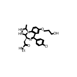 CCNC(=O)C[C@@H]1N=C(c2ccc(Cl)cc2)c2cc(OCCCO)ccc2N2C(C)NNC12